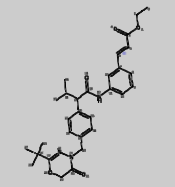 CCOC(=O)/C=C/c1cccc(NC(=O)C(c2ccc(CN3N=C(C(C)(C)C)OCC3=O)cc2)C(C)C)c1